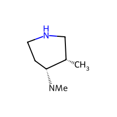 CN[C@@H]1CCNC[C@@H]1C